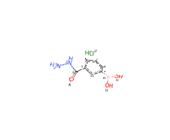 Cl.NNC(=O)c1cccc(B(O)O)c1